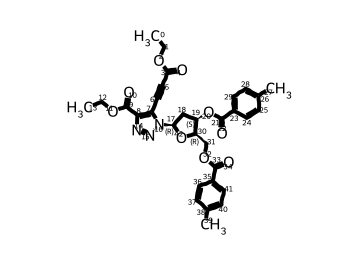 CCOC(=O)C#Cc1c(C(=O)OCC)nnn1[C@H]1C[C@H](OC(=O)c2ccc(C)cc2)[C@@H](COC(=O)c2ccc(C)cc2)O1